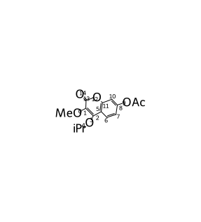 COc1c(OC(C)C)c2ccc(OC(C)=O)cc2oc1=O